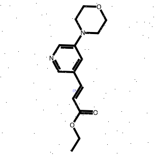 CCOC(=O)/C=C/c1cncc(N2CCOCC2)c1